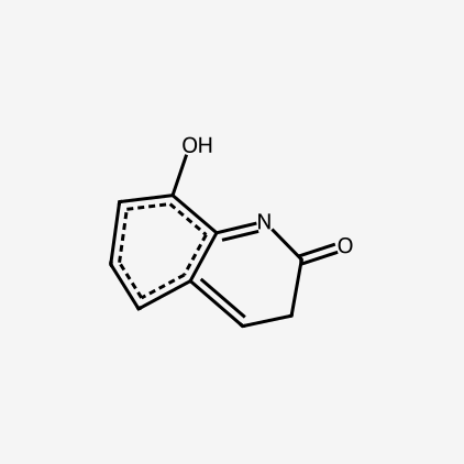 O=C1CC=c2cccc(O)c2=N1